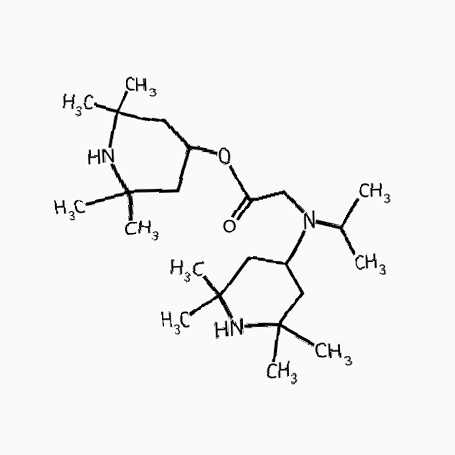 CC(C)N(CC(=O)OC1CC(C)(C)NC(C)(C)C1)C1CC(C)(C)NC(C)(C)C1